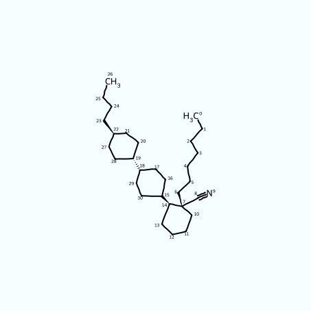 CCCCCCC[C@@]1(C#N)CCCC[C@H]1C1CCC([C@H]2CC[C@H](CCCC)CC2)CC1